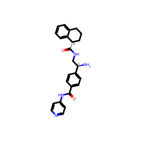 N[C@H](CNC(=O)[C@H]1CCCc2ccccc21)c1ccc(C(=O)Nc2ccncc2)cc1